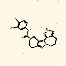 O=C(Nc1ccc(F)c(Cl)c1)N1CCc2nn3c(c2C1)-c1n[nH]cc1CCC3